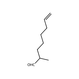 C=CCCCCC(C)C=O